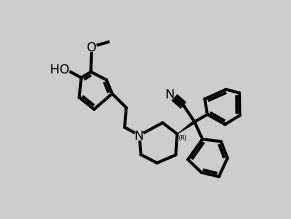 COc1cc(CCN2CCC[C@H](C(C#N)(c3ccccc3)c3ccccc3)C2)ccc1O